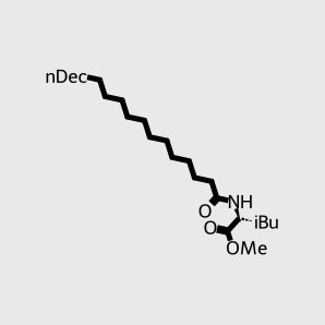 CCCCCCCCCCCCCCCCCCCCCC(=O)N[C@H](C(=O)OC)[C@@H](C)CC